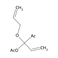 C=CCOC(C=C)(OC(C)=O)C(C)=O